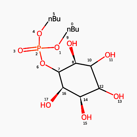 CCCCOP(=O)(OCCCC)OC1[C@@H](O)C(O)C(O)[C@@H](O)[C@H]1O